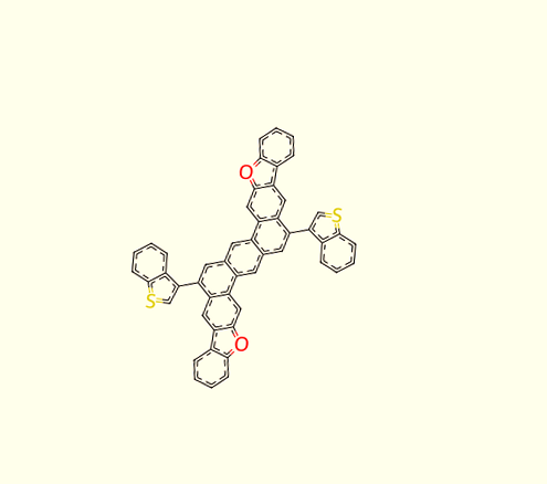 c1ccc2c(c1)oc1cc3c(cc12)c(-c1csc2ccccc12)cc1cc2c(cc(-c4csc5ccccc45)c4cc5c(cc42)oc2ccccc25)cc13